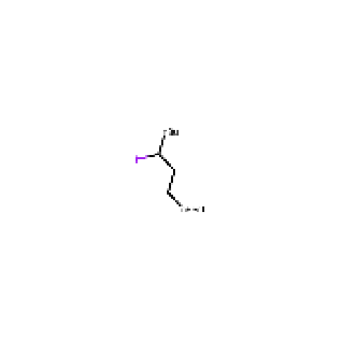 CCCCCCCC(I)CCCC